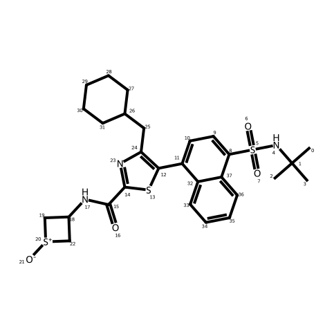 CC(C)(C)NS(=O)(=O)c1ccc(-c2sc(C(=O)NC3C[S+]([O-])C3)nc2CC2CCCCC2)c2ccccc12